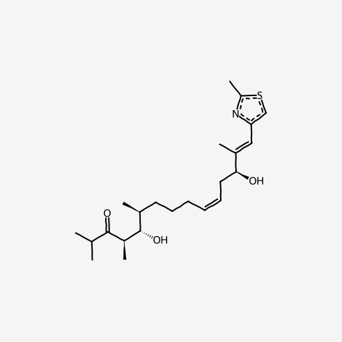 C/C(=C\c1csc(C)n1)[C@@H](O)C/C=C\CCC[C@H](C)[C@H](O)[C@@H](C)C(=O)C(C)C